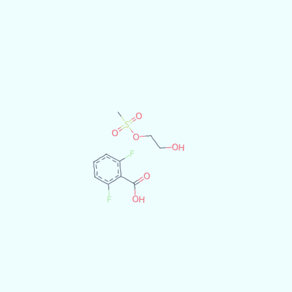 CS(=O)(=O)OCCO.O=C(O)c1c(F)cccc1F